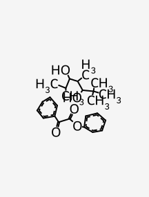 CC(C)C(O)C(C)C(O)C(C)(C)C.O=C(Oc1ccccc1)C(=O)c1ccccc1